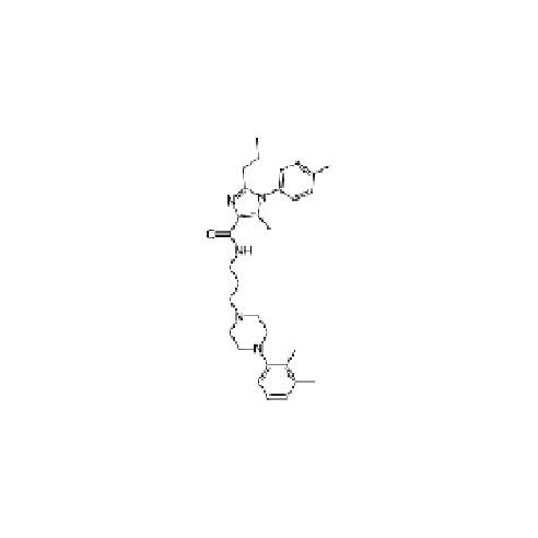 CCCc1nc(C(=O)NCCCN2CCN(c3cccc(C)c3C)CC2)c(C)n1-c1ccc(C)cc1